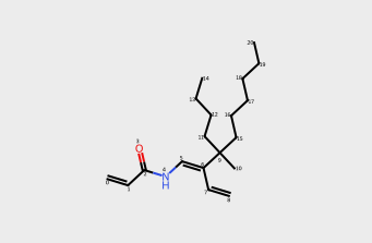 C=CC(=O)N/C=C(\C=C)C(C)(CCCC)CCCCCC